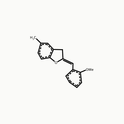 COc1ccccc1/C=C1/Cc2cc(C)ccc2O1